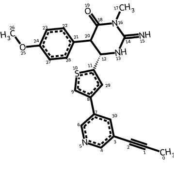 CC#Cc1cncc(-c2csc([C@H]3NC(=N)N(C)C(=O)C3c3ccc(OC)cc3)c2)c1